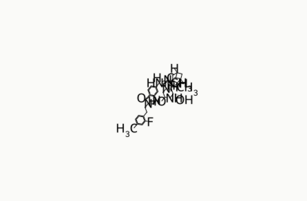 Cc1ccc(CCn2cnc3cc(N/C(=N/[C@H]4C[C@@H]5C[C@H]([C@@H]4C)C5(C)C)N4CC(O)N[C@@H](CO)C4)ccc3c2=O)c(F)c1